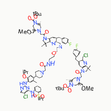 COC[C@H]1CN(C(=O)OC(C)(C)C)[C@H](C)CN1CC(=O)N1CC(C)(C)c2nc(CCl)c(Cc3ccc(F)cc3)cc21.COC[C@H]1CN(C(=O)OC(C)(C)C)[C@H](C)CN1CC(=O)N1CC(C)(C)c2nc(CN(C)CCOCCNC(=O)CN3CCC(c4cc(OC(C)C)c(Nc5ncc(Cl)c(Nc6ccccc6S(=O)(=O)C(C)C)n5)cc4C)CC3)c(Cc3ccc(F)cc3)cc21